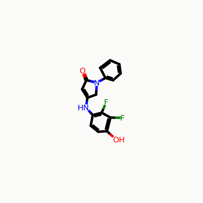 O=C1C=C(Nc2ccc(O)c(F)c2F)CN1c1ccccc1